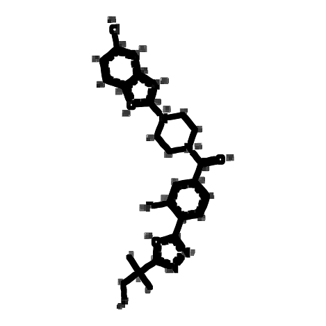 CC(C)(CF)c1nnc(-c2ccc(C(=O)N3CCN(c4nc5nc(Cl)ccc5o4)CC3)cc2F)o1